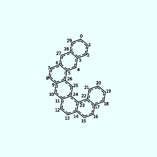 c1ccc2cc3c(ccc4cc5ccc6ccc7ccccc7c6c5cc43)cc2c1